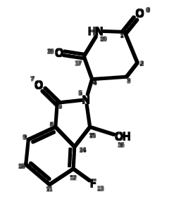 O=C1CCC(N2C(=O)c3cccc(F)c3C2O)C(=O)N1